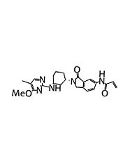 C=CC(=O)Nc1ccc2c(c1)C(=O)N([C@H]1CCC[C@@H](Nc3ncc(C)c(OC)n3)C1)C2